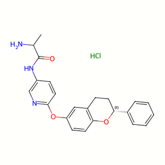 CC(N)C(=O)Nc1ccc(Oc2ccc3c(c2)CC[C@H](c2ccccc2)O3)nc1.Cl